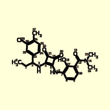 CCC(Nc1c(Nc2cccc(C(=O)N(C)C)c2O)c(=O)c1=O)c1ccc(C)c(Cl)c1